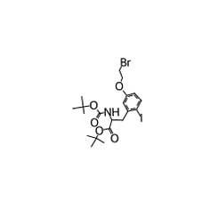 CC(C)(C)OC(=O)NC(Cc1cc(OCCBr)ccc1I)C(=O)OC(C)(C)C